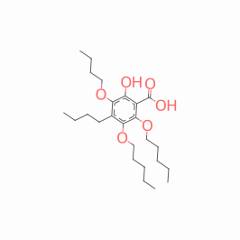 CCCCCOc1c(CCCC)c(OCCCC)c(O)c(C(=O)O)c1OCCCCC